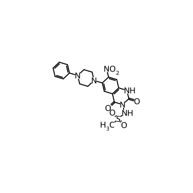 CS(=O)(=O)Nn1c(=O)[nH]c2cc([N+](=O)[O-])c(N3CCN(c4ccccc4)CC3)cc2c1=O